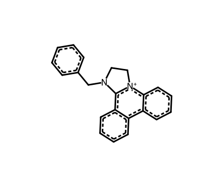 c1ccc(CN2CC[n+]3c2c2ccccc2c2ccccc23)cc1